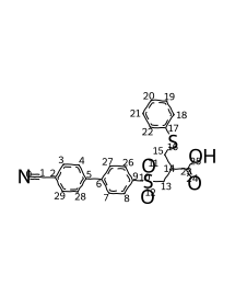 N#Cc1ccc(-c2ccc(S(=O)(=O)CC(CSc3ccccc3)C(=O)O)cc2)cc1